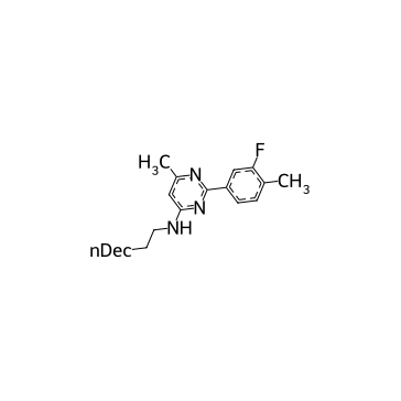 CCCCCCCCCCCCNc1cc(C)nc(-c2ccc(C)c(F)c2)n1